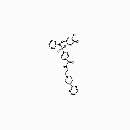 O=C(NCCN1CCN(c2ncccn2)CC1)c1ccc(S(=O)(=O)N(Oc2ccc(Cl)c(Cl)c2)c2ccccc2)cc1